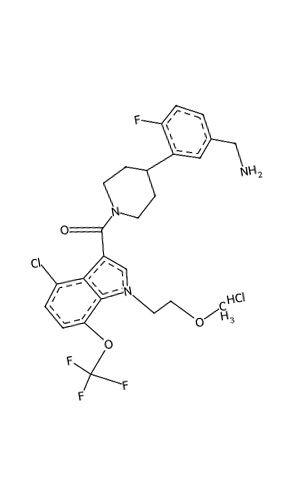 COCCn1cc(C(=O)N2CCC(c3cc(CN)ccc3F)CC2)c2c(Cl)ccc(OC(F)(F)F)c21.Cl